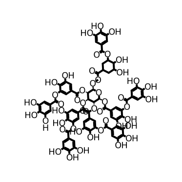 O=C(Oc1cc(C(=O)O[C@@H]2O[C@H](OOC(=O)C3CC(O)C(O)C(OC(=O)c4cc(O)c(O)c(O)c4)C3)[C@@H](OC(=O)c3cc(O)c(O)c(OC(=O)c4cc(O)c(O)c(O)c4)c3)[C@H](OC(=O)c3cc(O)c(O)c(OC(=O)c4cc(O)c(O)c(O)c4)c3)[C@H]2OC(=O)c2cc(O)c(O)c(OC(=O)c3cc(O)c(O)c(O)c3)c2)cc(O)c1O)c1cc(O)c(O)c(O)c1